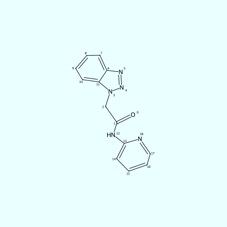 O=C(Cn1nnc2ccccc21)Nc1ccccn1